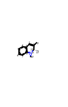 CC1=Cc2ccccc2N(C)[C@H]1C